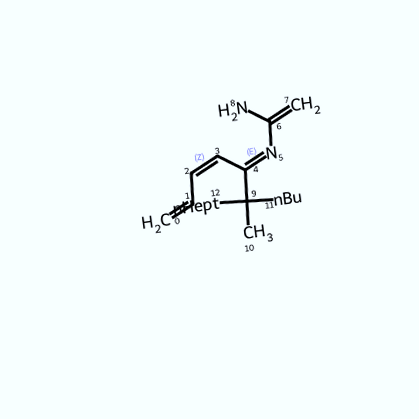 C=C/C=C\C(=N/C(=C)N)C(C)(CCCC)CCCCCCC